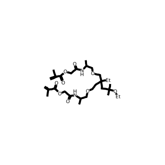 C=C(C)C(=O)OCC(=O)NC(C)COCCC(CC)(COCC(C)NC(=O)COC(=O)C(=C)C)CC(C)(C)OCC